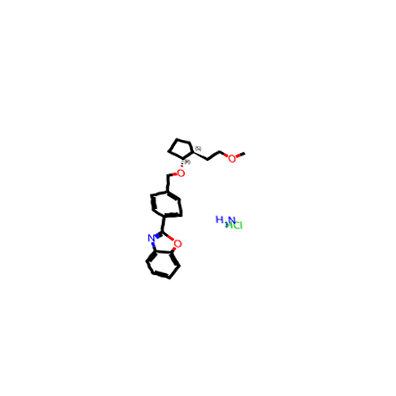 COCC[C@@H]1CCC[C@H]1OCc1ccc(-c2nc3ccccc3o2)cc1.Cl.N